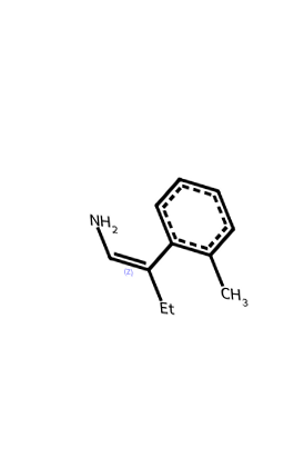 CC/C(=C/N)c1ccccc1C